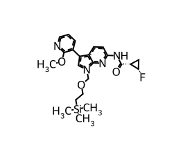 COc1ncccc1-c1cn(COCC[Si](C)(C)C)c2nc(NC(=O)[C@@H]3C[C@@H]3F)ccc12